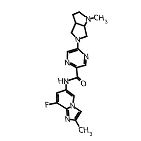 Cc1cn2cc(NC(=O)c3cnc(N4CC5CCN(C)C5C4)cn3)cc(F)c2n1